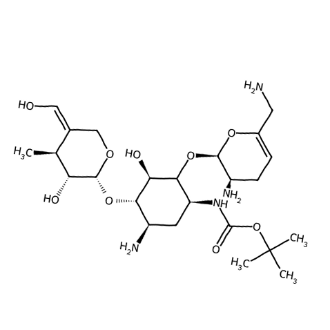 C[C@H]1/C(=C\O)CO[C@H](O[C@H]2[C@H](N)C[C@H](NC(=O)OC(C)(C)C)C(O[C@H]3OC(CN)=CC[C@H]3N)[C@@H]2O)[C@@H]1O